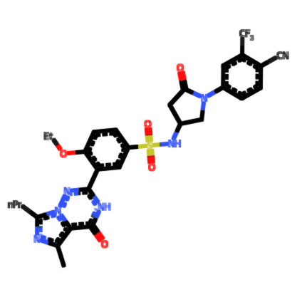 CCCc1nc(C)c2c(=O)[nH]c(-c3cc(S(=O)(=O)NC4CC(=O)N(c5ccc(C#N)c(C(F)(F)F)c5)C4)ccc3OCC)nn12